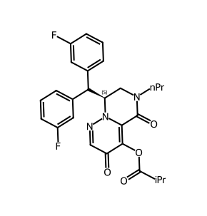 CCCN1C[C@H](C(c2cccc(F)c2)c2cccc(F)c2)n2ncc(=O)c(OC(=O)C(C)C)c2C1=O